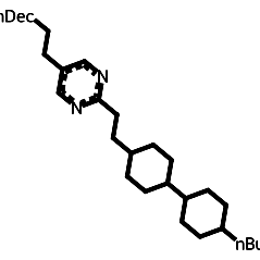 CCCCCCCCCCCCc1cnc(CCC2CCC(C3CCC(CCCC)CC3)CC2)nc1